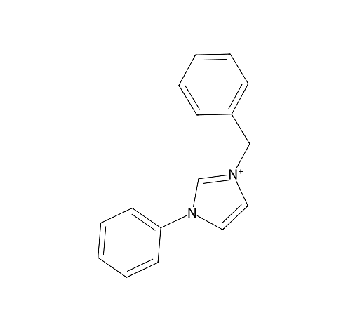 c1ccc(C[n+]2ccn(-c3ccccc3)c2)cc1